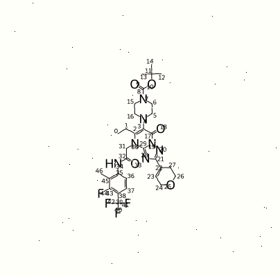 CCc1c(N2CCN(C(=O)OC(C)(C)C)CC2)c(=O)n2nc(C3=CCOCC3)nc2n1CC(=O)Nc1ccc(C(F)(F)F)c(F)c1C